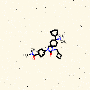 CN(C)C(=O)c1ccc(N2CC3(CCC(c4ccccc4)(N(C)C)CC3)N(CC3CCC3)C2=O)cc1